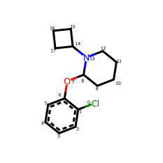 Clc1ccccc1OC1CCCCN1C1CCC1